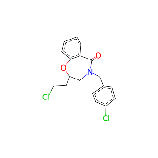 O=C1c2ccccc2OC(CCCl)CN1Cc1ccc(Cl)cc1